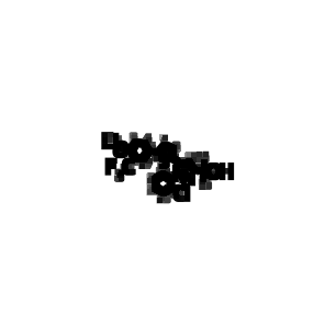 CCOc1ccc(-c2ccc(-c3cc(C(C)(C)O)nn3-c3ccccc3Cl)s2)cc1C(F)(F)F